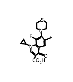 O=C(O)c1cn(C2CC2)c2c(F)c(N3CCSCC3)c(F)cc2c1=O